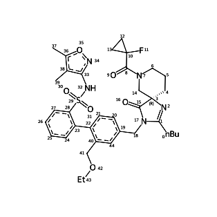 CCCCC1=N[C@@]2(CCCN(C(=O)C3(F)CC3)C2)C(=O)N1Cc1ccc(-c2ccccc2S(=O)(=O)Nc2noc(C)c2C)c(COCC)c1